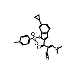 Cc1ccc(S(=O)(=O)n2c(C(=O)C(C#N)=CN(C)C)cc3ccc(C4CC4)cc32)cc1